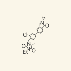 CCN1C(=O)C(C)N(Cc2ccc(-c3ccc4c(c3)CN(C3CC3)C4=O)cc2Cl)C1=O